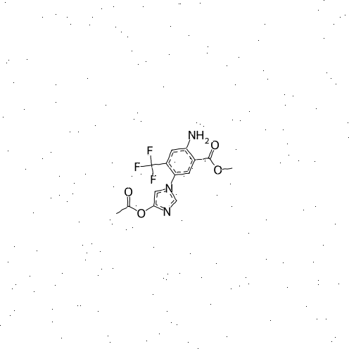 COC(=O)c1cc(-n2cnc(OC(C)=O)c2)c(C(F)(F)F)cc1N